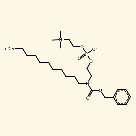 CCCCCCCCCCCCCCCCCCCCN(CCOP(=O)([O-])OCC[N+](C)(C)C)C(=O)OCc1ccccc1